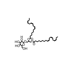 CC/C=C\C/C=C\C/C=C\CCCCCCCC(=O)OCC(COC1OC(CO)C(O)C(O)C1O)OC(=O)CCCCC/C=C\C/C=C\C/C=C\CC